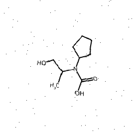 CC(CO)N(C(=O)O)C1CCCC1